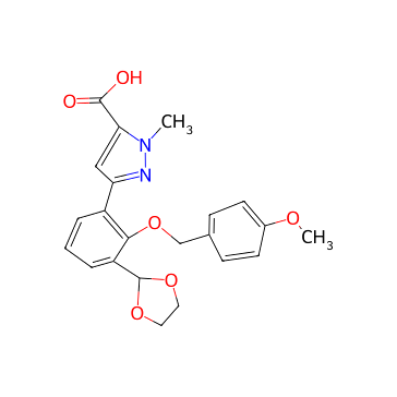 COc1ccc(COc2c(-c3cc(C(=O)O)n(C)n3)cccc2C2OCCO2)cc1